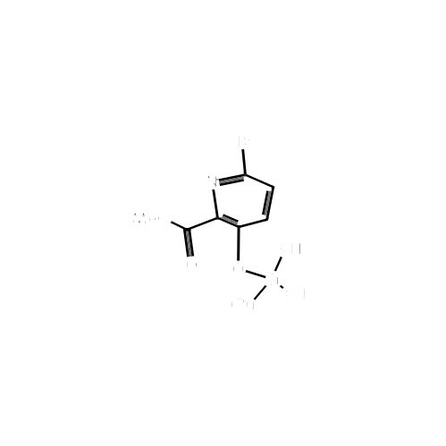 COC(=O)c1nc(Br)ccc1O[Si](C)(C)C(C)(C)C